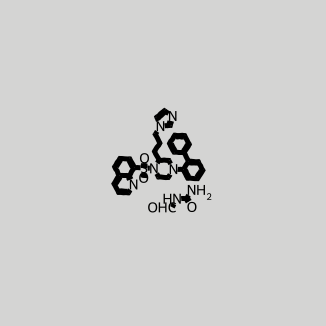 NC(=O)NC=O.O=S(=O)(c1cccc2cccnc12)N1CCN(c2ccccc2-c2ccccc2)CC1CCCn1ccnc1